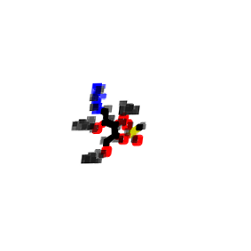 CCCCOC[C@H](OS(C)(=O)=O)C(OCCCC)[C@H](CN=[N+]=[N-])OCCCC